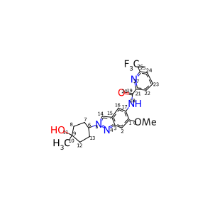 COc1cc2nn(C3CCC(C)(O)CC3)cc2cc1NC(=O)c1cccc(C(F)(F)F)n1